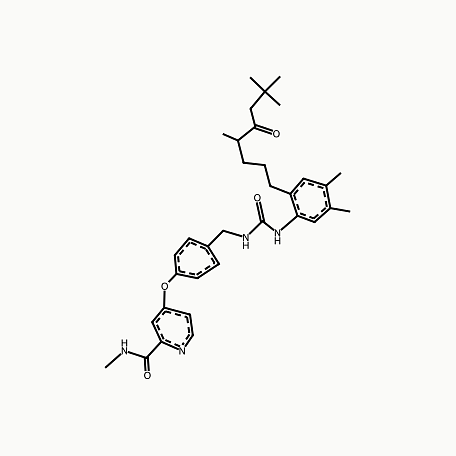 CNC(=O)c1cc(Oc2ccc(CNC(=O)Nc3cc(C)c(C)cc3CCCC(C)C(=O)CC(C)(C)C)cc2)ccn1